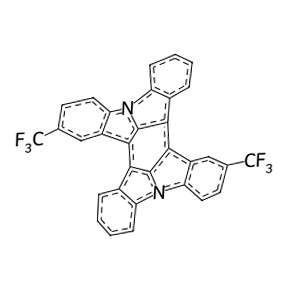 FC(F)(F)c1ccc2c(c1)c1c3c4ccccc4n4c5ccc(C(F)(F)F)cc5c(c5c6ccccc6n2c51)c34